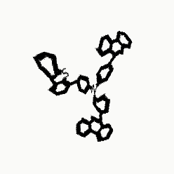 c1cc(-c2cc3ccccc3c3ccccc23)cc(N(c2ccc(-c3cc4ccccc4c4ccccc34)cc2)c2ccc(-c3cccc4c3sc3ccccc34)cc2)c1